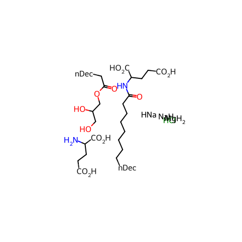 CCCCCCCCCCCC(=O)OCC(O)CO.CCCCCCCCCCCCCCCCCC(=O)NC(CCC(=O)O)C(=O)O.Cl.NC(CCC(=O)O)C(=O)O.[MgH2].[NaH].[NaH]